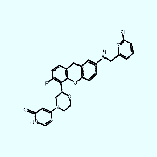 O=c1cc(N2CCOC(c3c(F)ccc4c3Oc3ccc(NCc5cccc(Cl)n5)cc3C4)C2)cc[nH]1